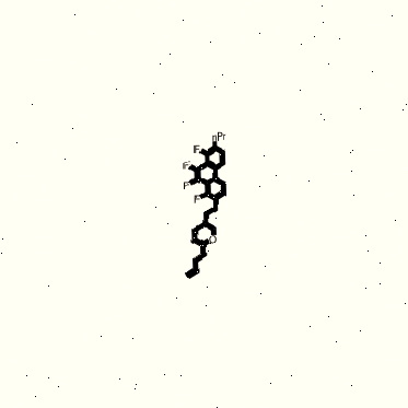 C=CCCC1CCC(CCc2ccc3c(c2F)C(F)C(F)c2c-3ccc(CCC)c2F)CO1